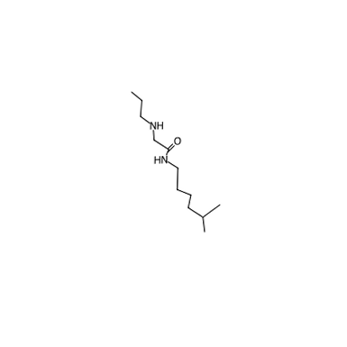 CCCNCC(=O)NCCCCC(C)C